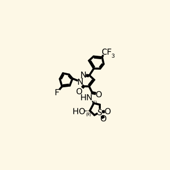 O=C(N[C@@H]1CS(=O)(=O)C[C@@H]1O)c1cc(-c2ccc(C(F)(F)F)cc2)nn(-c2cccc(F)c2)c1=O